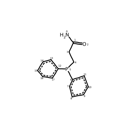 NC(=O)CCP(c1ccccc1)c1ccccc1